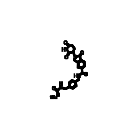 CC(C)(C)OC(=O)NCc1ccc(CNC(=O)c2ccc3c(c2)CN(C2CCC(=O)NC2=O)C3=O)cc1